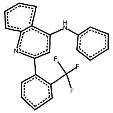 FC(F)(F)c1ccccc1-c1cc(Nc2ccccc2)c2ccccc2n1